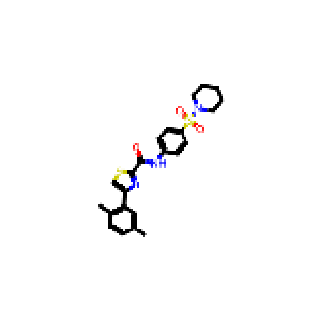 Cc1ccc(C)c(-c2csc(C(=O)Nc3ccc(S(=O)(=O)N4CCCCC4)cc3)n2)c1